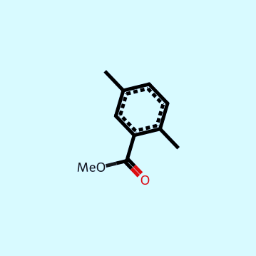 [CH2]OC(=O)c1cc(C)ccc1C